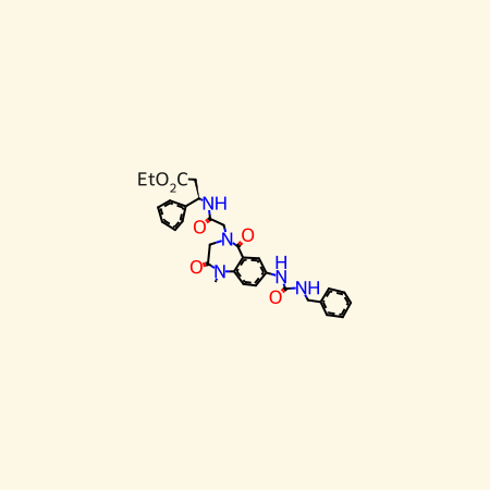 CCOC(=O)C[C@@H](NC(=O)CN1CC(=O)N(C)c2ccc(NC(=O)NCc3ccccc3)cc2C1=O)c1ccccc1